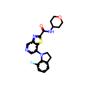 O=C(NC1CCOCC1)c1nc2cncc(N3CCc4cccc(F)c43)c2s1